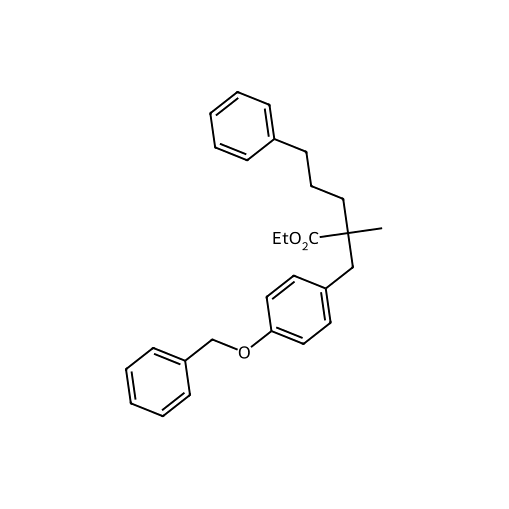 CCOC(=O)C(C)(CCCc1ccccc1)Cc1ccc(OCc2ccccc2)cc1